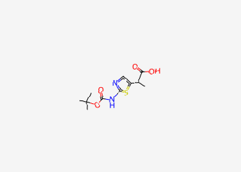 CC(C(=O)O)c1cnc(NC(=O)OC(C)(C)C)s1